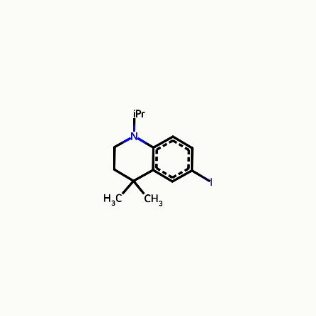 CC(C)N1CCC(C)(C)c2cc(I)ccc21